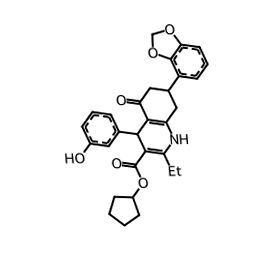 CCC1=C(C(=O)OC2CCCC2)C(c2cccc(O)c2)C2=C(CC(c3cccc4c3OCO4)CC2=O)N1